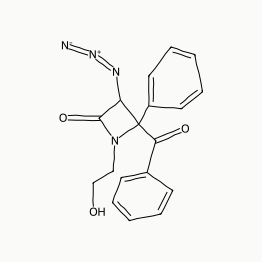 [N-]=[N+]=NC1C(=O)N(CCO)C1(C(=O)c1ccccc1)c1ccccc1